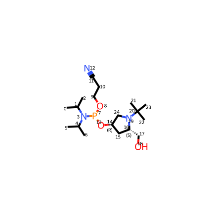 CC(C)N(C(C)C)P(OCCC#N)O[C@@H]1C[C@@H](CO)N(C(C)(C)C)C1